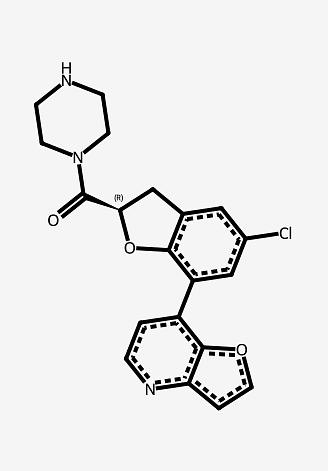 O=C([C@H]1Cc2cc(Cl)cc(-c3ccnc4ccoc34)c2O1)N1CCNCC1